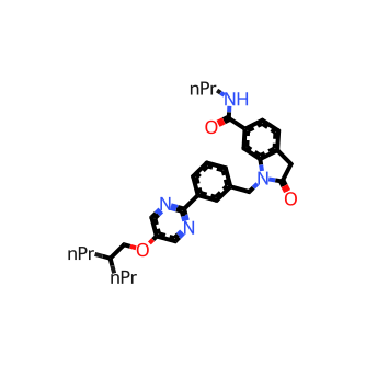 CCCNC(=O)c1ccc2c(c1)N(Cc1cccc(-c3ncc(OCC(CCC)CCC)cn3)c1)C(=O)C2